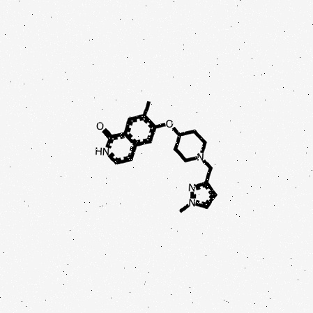 Cc1cc2c(=O)[nH]ccc2cc1OC1CCN(Cc2ccn(C)n2)CC1